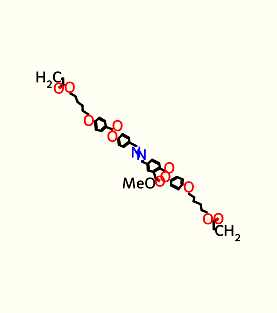 C=CC(=O)OCCCCCCOc1ccc(OC(=O)c2ccc(/C=N/N=C/c3ccc(OC(=O)c4ccc(OCCCCCCOC(=O)C=C)cc4)cc3)cc2C(=O)OC)cc1